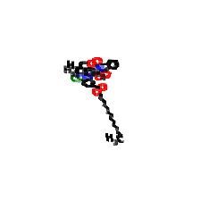 CCCCCCCCCCCCCCOC(=O)c1ccc(Cl)c(NC(=O)C(C(=O)C(C)(C)C)N2C(=O)c3ccccc3C2=O)c1